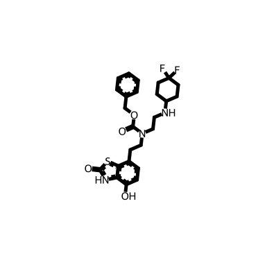 O=C(OCc1ccccc1)N(CCNC1CCC(F)(F)CC1)CCc1ccc(O)c2[nH]c(=O)sc12